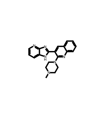 CN1CCN(c2nc3ccccc3cc2-c2nc3ncccc3[nH]2)CC1